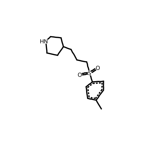 Cc1ccc(S(=O)(=O)CCCC2CCNCC2)cc1